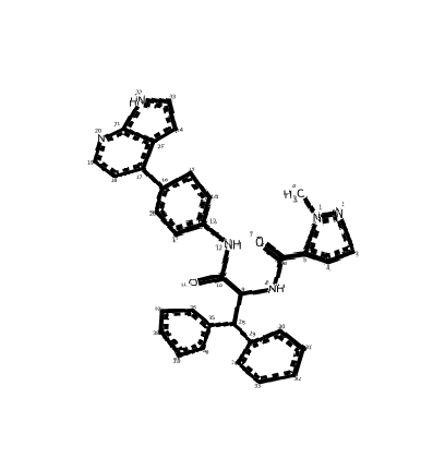 Cn1nccc1C(=O)NC(C(=O)Nc1ccc(-c2ccnc3[nH]ccc23)cc1)C(c1ccccc1)c1ccccc1